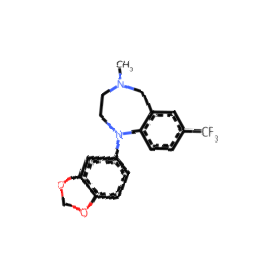 CN1CCN(c2ccc3c(c2)OCO3)c2ccc(C(F)(F)F)cc2C1